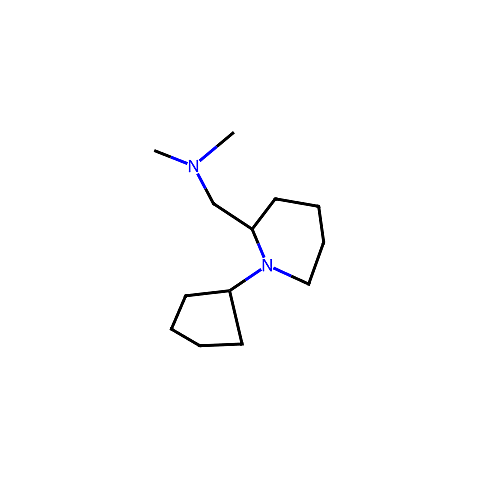 CN(C)CC1CCCCN1C1CCCC1